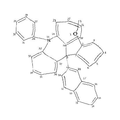 COc1ccccc1C1(c2ccc3ccccc3c2)c2ccccc2N(c2ccccc2)c2ccccc21